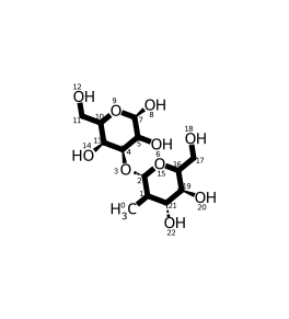 CC1[C@H](O[C@@H]2C(O)[C@H](O)OC(CO)[C@@H]2O)OC(CO)[C@@H](O)[C@@H]1O